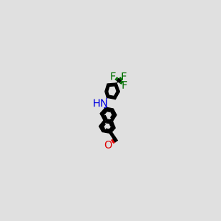 O=Cc1ccc2cc(N[C@H]3CC[C@@H](C(F)(F)F)CC3)ccc2c1